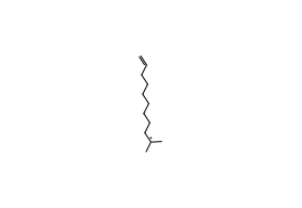 C=CCCCCCCC[C](C)C